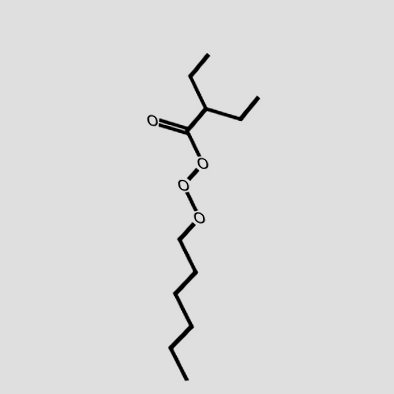 CCCCCCOOOC(=O)C(CC)CC